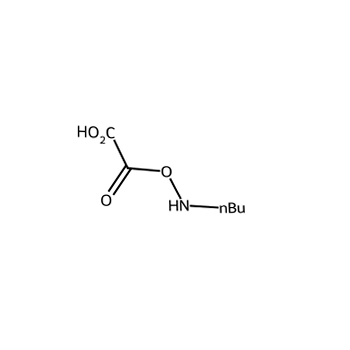 CCCCNOC(=O)C(=O)O